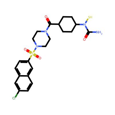 NC(=O)N(S)C1CCC(C(=O)N2CCN(S(=O)(=O)c3ccc4cc(Cl)ccc4c3)CC2)CC1